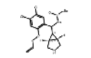 C=CCOc1cc(Cl)c(Cl)cc1C(N[S+]([O-])C(C)(C)C)[C@H]1[C@@H]2CNC[C@@H]21